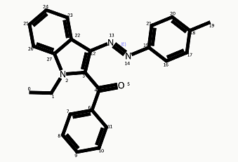 CCn1c(C(=O)c2ccccc2)c(/N=N/c2ccc(C)cc2)c2ccccc21